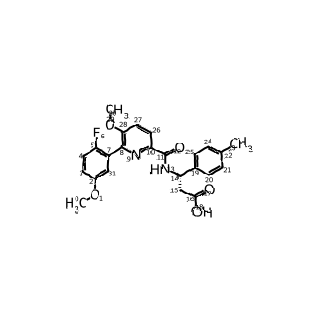 COc1ccc(F)c(-c2nc(C(=O)N[C@@H](CC(=O)O)c3ccc(C)cc3)ccc2OC)c1